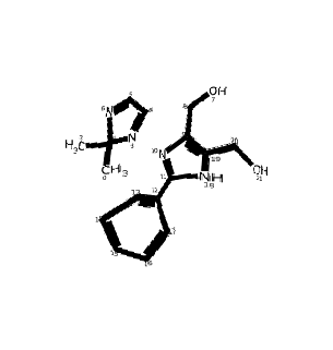 CC1(C)N=CC=N1.OCc1nc(-c2ccccc2)[nH]c1CO